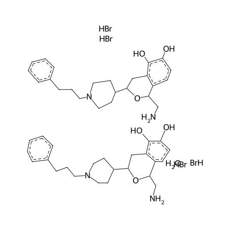 Br.Br.Br.Br.NCC1OC(C2CCN(CCCc3ccccc3)CC2)Cc2c1ccc(O)c2O.NCC1OC(C2CCN(CCCc3ccccc3)CC2)Cc2c1ccc(O)c2O.O